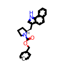 O=C(OCc1ccccc1)N1CCC[C@H]1Cc1c[nH]c2c1ccc1ccccc12